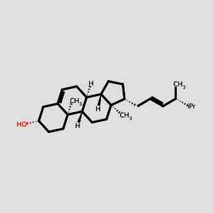 CC(C)[C@@H](C)/C=C/C[C@H]1CC[C@H]2[C@@H]3CC=C4C[C@@H](O)CC[C@]4(C)[C@H]3CC[C@]12C